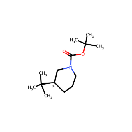 CC(C)(C)OC(=O)N1CCC[C@@H](C(C)(C)C)C1